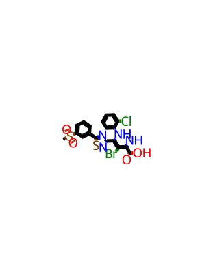 CS(=O)(=O)c1cccc(-c2nc(/C(Nc3ccccc3Cl)=C(\Br)C(=N)C(=O)O)ns2)c1